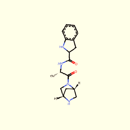 CC(C)(C)[C@H](NC(=O)C1Cc2ccccc2N1)C(=O)N1C[C@@H]2C[C@H]1CN2